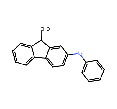 O=CC1c2ccccc2-c2ccc(Nc3ccccc3)cc21